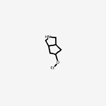 CCOC1CC2CNCC2C1